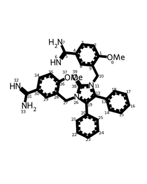 COc1ccc(C(=N)N)cc1Cn1c(-c2ccccc2)c(-c2ccccc2)n(Cc2cc(C(=N)N)ccc2OC)c1=O